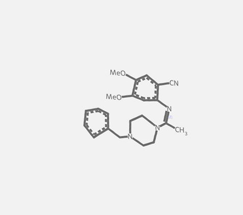 COc1cc(C#N)c(/N=C(/C)N2CCN(Cc3ccccc3)CC2)cc1OC